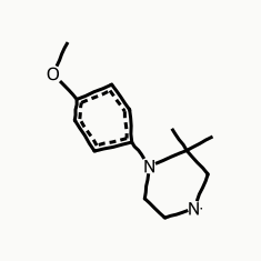 COc1ccc(N2CC[N]CC2(C)C)cc1